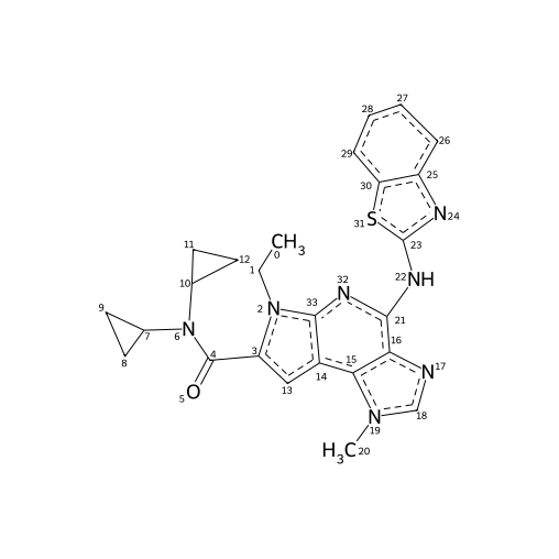 CCn1c(C(=O)N(C2CC2)C2CC2)cc2c3c(ncn3C)c(Nc3nc4ccccc4s3)nc21